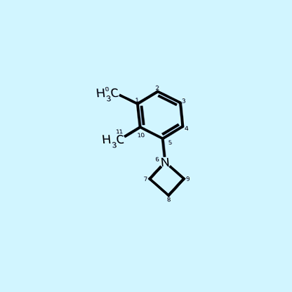 Cc1cccc(N2CCC2)c1C